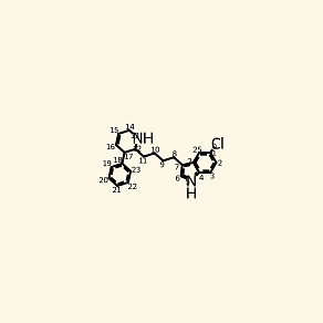 Clc1ccc2[nH]cc(CCCCC3NCC=CC3c3ccccc3)c2c1